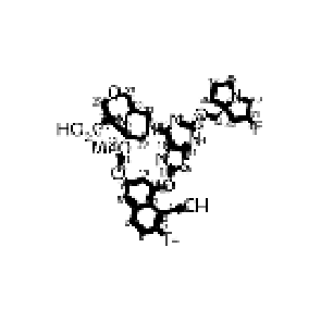 C#Cc1c(F)ccc2cc(OCOC)cc(Oc3nc4c(N5CC6COCC7(C(=O)O)C(C5)N67)nc(OC[C@@]56CCCN5CC(F)C6)nc4s3)c12